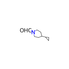 O=CN1CCC(C2CC2)CC1